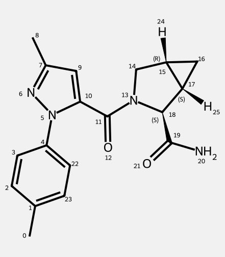 Cc1ccc(-n2nc(C)cc2C(=O)N2C[C@@H]3C[C@@H]3[C@H]2C(N)=O)cc1